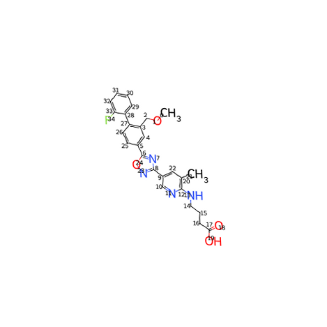 COCc1cc(-c2nc(-c3cnc(NCCCC(=O)O)c(C)c3)no2)ccc1-c1ccccc1F